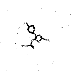 CCCCCC(=O)Oc1sc(N)nc1-c1ccc(Cl)cc1